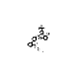 CCOC(=O)c1ccccc1-c1ccc(OCc2cc(C(F)(F)F)nn2-c2c(Cl)cccc2Cl)cc1